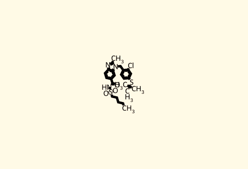 CCCCCS(=O)(=O)NC(=O)c1ccc2nc(C)n(Cc3ccc(SC(C)(C)C)cc3Cl)c2c1